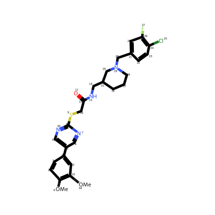 COc1ccc(-c2cnc(SCC(=O)NCC3CCCN(Cc4ccc(Cl)c(F)c4)C3)nc2)cc1OC